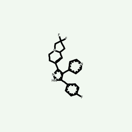 Fc1ccc(-c2[nH]nc(C3=CC4CC(F)(F)CN4CC3)c2-c2ccncc2)cc1